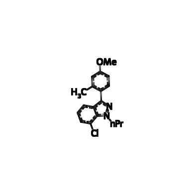 CCCn1nc(-c2ccc(OC)cc2C)c2cccc(Cl)c21